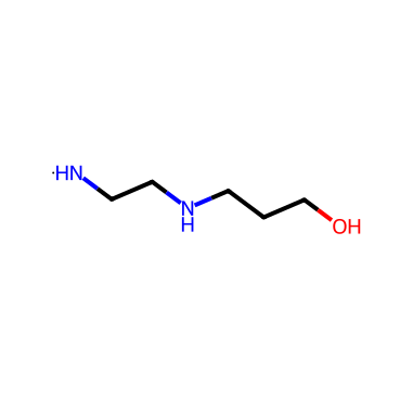 [NH]CCNCCCO